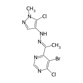 CC(=NNc1cnn(C)c1Cl)c1ncnc(Cl)c1Br